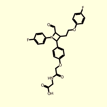 O=CC1C(CCOc2ccc(F)cc2)C(c2ccc(OCC(=O)NCC(=O)O)cc2)N1c1ccc(F)cc1